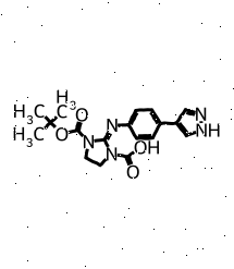 CC(C)(C)OC(=O)N1CCN(C(=O)O)C1=Nc1ccc(-c2cn[nH]c2)cc1